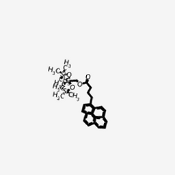 C[Si](C)(C)O[Si](C)(COC(=O)CCCc1ccc2ccc3cccc4ccc1c2c34)O[Si](C)(C)C